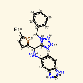 CCc1ccc(C(Nc2ccc3[nH]cnc3c2)c2nnnn2Cc2ccccc2)s1